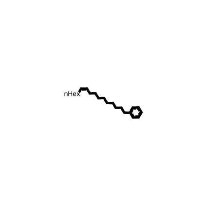 CCCCCC/C=C\CCCCCCCCCc1ccccc1